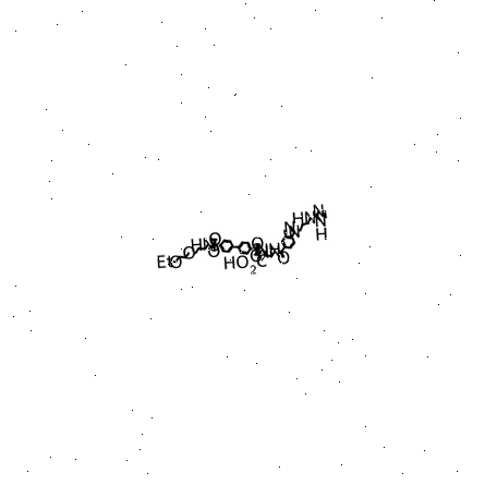 CCOCCOCCCNS(=O)(=O)c1ccc(-c2ccc(S(=O)(=O)N[C@@H](CNC(=O)c3ccc4c(cnn4CCCNc4ncc[nH]4)c3)C(=O)O)cc2)cc1